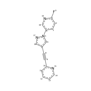 Fc1ccc(-n2cc(C#Cc3ccccn3)cn2)cn1